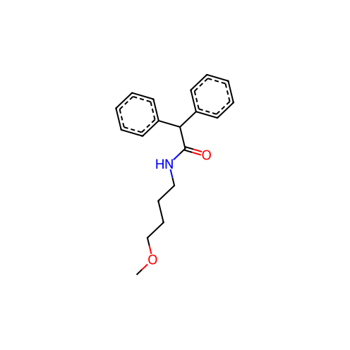 COCCCCNC(=O)C(c1ccccc1)c1ccccc1